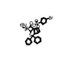 CC(OS(=O)(=O)c1ccc(Br)cc1)C1C(=O)N([Si](C)(C)C(C)(C)C)C1SC(c1ccccc1)(c1ccccc1)c1ccccc1